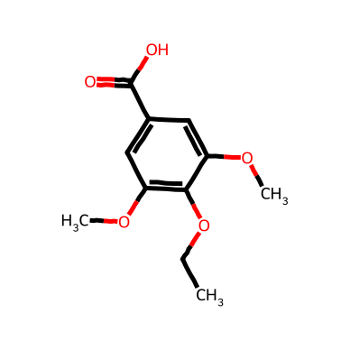 CCOc1c(OC)cc(C(=O)O)cc1OC